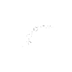 CNC(=O)COc1ccc(C(C)CN2CCOC(c3csc(C(F)(F)F)n3)C2)cc1